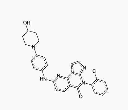 O=c1c2cnc(Nc3ccc(N4CCC(O)CC4)cc3)nc2n2ccnc2n1-c1ccccc1Cl